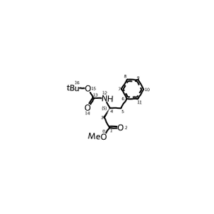 COC(=O)C[C@H](Cc1ccccc1)NC(=O)OC(C)(C)C